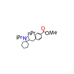 CCCC1C(Cc2ccc(C(=O)OC)cc2)C2(CCCCC2)N1C(C)C